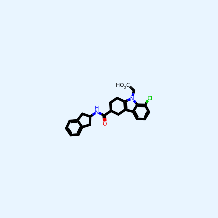 O=C(O)Cn1c2c(c3cccc(Cl)c31)CC(C(=O)NC1Cc3ccccc3C1)CC2